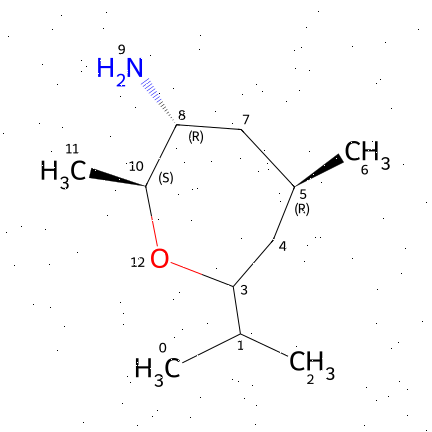 CC(C)C1C[C@H](C)C[C@@H](N)[C@H](C)O1